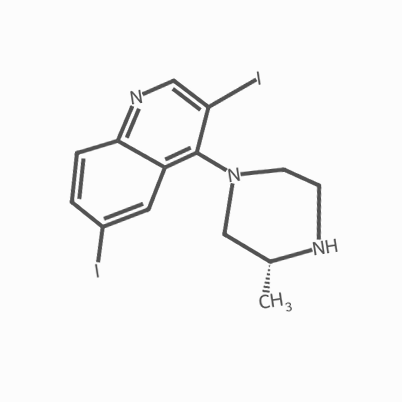 C[C@@H]1CN(c2c(I)cnc3ccc(I)cc23)CCN1